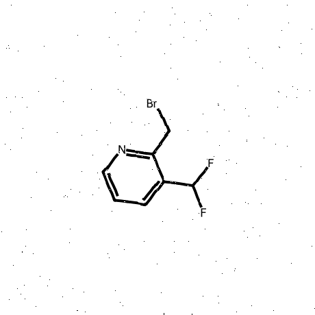 FC(F)c1cccnc1CBr